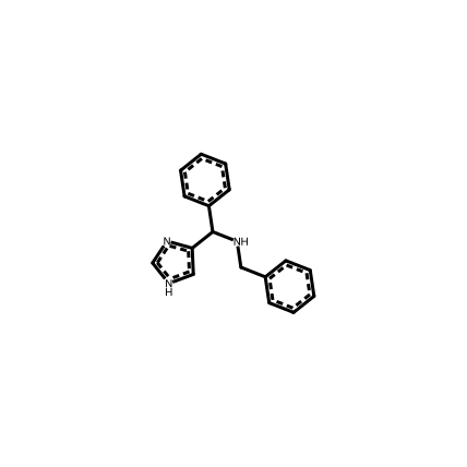 c1ccc(CNC(c2ccccc2)c2c[nH]cn2)cc1